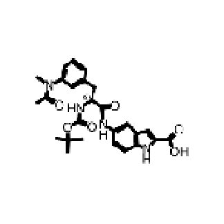 CC(=O)N(C)c1cccc(C[C@H](NC(=O)OC(C)(C)C)C(=O)Nc2ccc3[nH]c(C(=O)O)cc3c2)c1